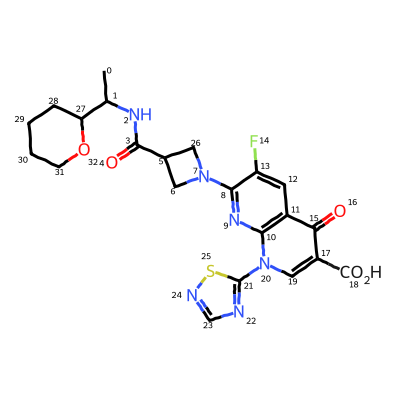 CC(NC(=O)C1CN(c2nc3c(cc2F)c(=O)c(C(=O)O)cn3-c2ncns2)C1)C1CCCCO1